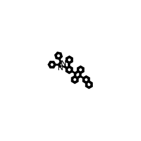 c1ccc(-c2nc3c4ccc(-c5c6ccccc6c(-c6ccc7ccccc7c6)c6ccccc56)cc4c4ccccc4n3c2-c2ccccc2)cc1